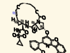 COc1ccccc1-c1cc(O[C@@H]2C[C@H]3C(=O)N[C@]4(C(=O)NS(=O)(=O)C5CC5)C[C@H]4/C=C\CCCCCCC(=O)N3C2)c2oc3cccc(F)c3c2n1